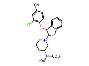 CC(C)(C)N(C(=O)O)[C@@H]1CCCN([C@@H]2Cc3ccccc3[C@@H]2Oc2ccc(C#N)cc2Cl)C1